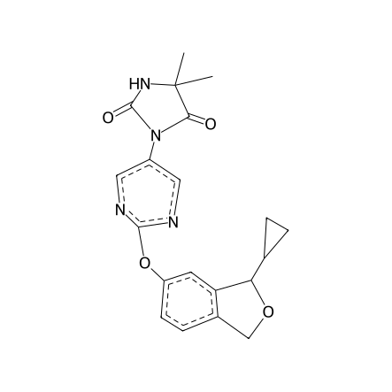 CC1(C)NC(=O)N(c2cnc(Oc3ccc4c(c3)C(C3CC3)OC4)nc2)C1=O